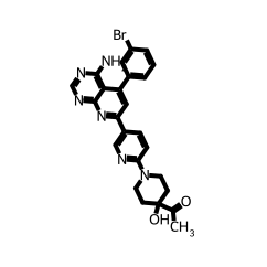 CC(=O)C1(O)CCN(c2ccc(-c3cc(-c4cccc(Br)c4)c4c(N)ncnc4n3)cn2)CC1